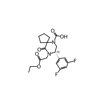 CCOC(=O)CN1C(=O)C2(CCCC2)N(C(=O)O)C[C@@H]1c1cc(F)cc(F)c1